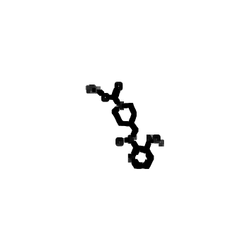 CC(C)(C)OC(=O)N1CCC(C[S+]([O-])c2ncccc2[N+](=O)[O-])CC1